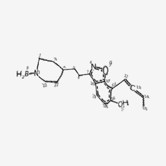 BN1CCC(CCc2noc3c(C=C=CC)c(O)ccc23)CC1